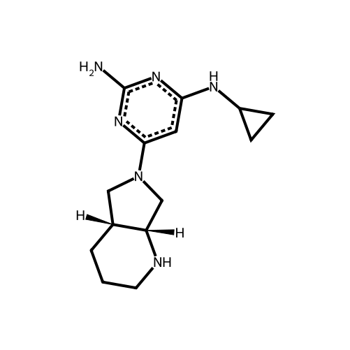 Nc1nc(NC2CC2)cc(N2C[C@H]3CCCN[C@H]3C2)n1